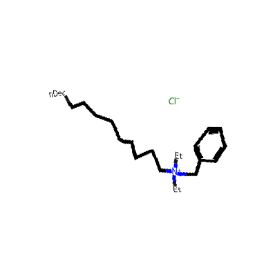 CCCCCCCCCCCCCCCCCCC[N+](CC)(CC)Cc1ccccc1.[Cl-]